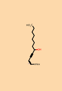 CCCCCC/C=C\C#CC(O)CCCCCCC(=O)O